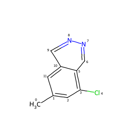 Cc1cc(Cl)c2cnncc2c1